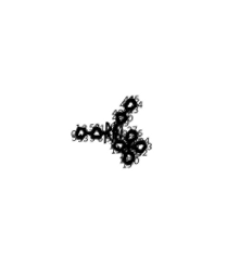 C1=CCC(c2ccc(-c3nc(C4=CC5=C(CC4)c4ccccc4C5(c4ccccc4)c4ccccc4)nc(-c4ccc(-c5ccccc5)cc4)n3)cc2)C=C1